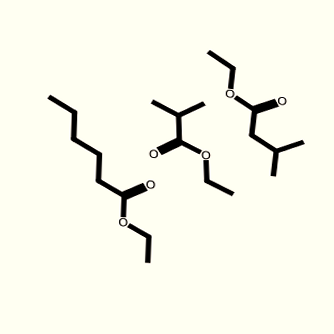 CCCCCC(=O)OCC.CCOC(=O)C(C)C.CCOC(=O)CC(C)C